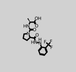 C[C@H](NC(=O)N1CCCC1C(=O)NNc1ccccc1C(F)(F)F)C(=O)O